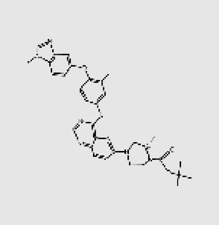 Cc1cc(Nc2ncnc3ccc(N4CCN(C(=O)OC(C)(C)C)[C@@H](C)C4)nc23)ccc1Oc1ccc2c(c1)ncn2C